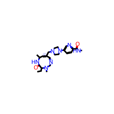 CCC1C(=O)NC(C)/C=C(CN2CCN(c3ccc(C(=O)NC)nc3)CC2)\C=N/CN1C